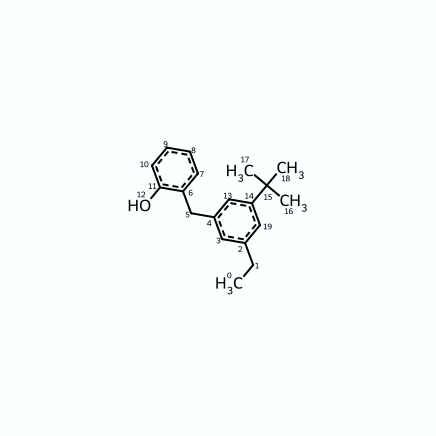 CCc1cc(Cc2ccccc2O)cc(C(C)(C)C)c1